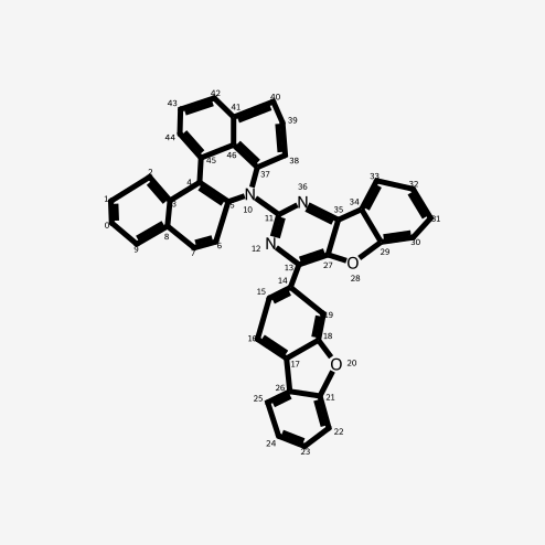 c1ccc2c3c(ccc2c1)N(c1nc(-c2ccc4c(c2)oc2ccccc24)c2oc4ccccc4c2n1)c1cccc2cccc-3c12